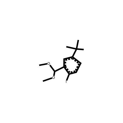 COC(OC)c1cc(C(C)(C)C)ccc1I